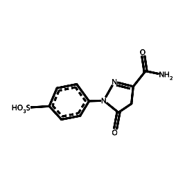 NC(=O)C1=NN(c2ccc(S(=O)(=O)O)cc2)C(=O)C1